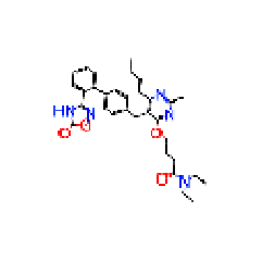 CCCCc1nc(C)nc(OCCCC(=O)N(CC)CC)c1Cc1ccc(-c2ccccc2-c2noc(=O)[nH]2)cc1